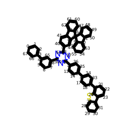 c1ccc(-c2cccc(-c3nc(-c4ccc(-c5ccc(-c6cccc7c6sc6ccccc67)cc5)cc4)nc(-c4ccc5c(c4)C4(c6ccccc6-c6ccccc64)c4ccccc4-5)n3)c2)cc1